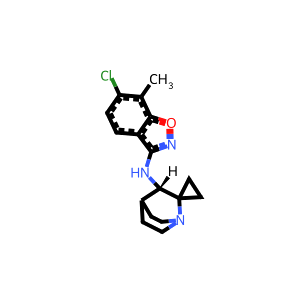 Cc1c(Cl)ccc2c(N[C@H]3C4CCN(CC4)C34CC4)noc12